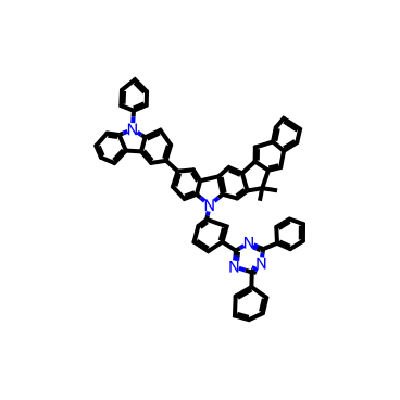 CC1(C)c2cc3ccccc3cc2-c2cc3c4cc(-c5ccc6c(c5)c5ccccc5n6-c5ccccc5)ccc4n(-c4cccc(-c5nc(-c6ccccc6)nc(-c6ccccc6)n5)c4)c3cc21